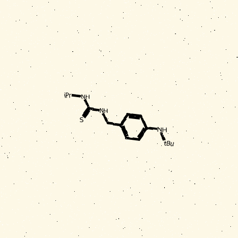 CC(C)NC(=S)NCc1ccc(NC(C)(C)C)cc1